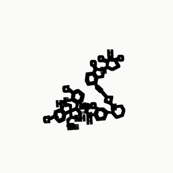 COc1cc([C@@H]2CCCCN2C2CC(C#Cc3cccc4c3CN(C3CCC(=O)NC3=O)C4=O)C2)ccc1NC(=O)[C@@H]1N[C@@H](CC(C)(C)C)[C@@]2(CNc3cc(Cl)ccc32)[C@H]1c1cccc(Cl)c1F